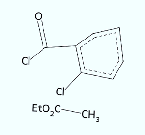 CCOC(C)=O.O=C(Cl)c1ccccc1Cl